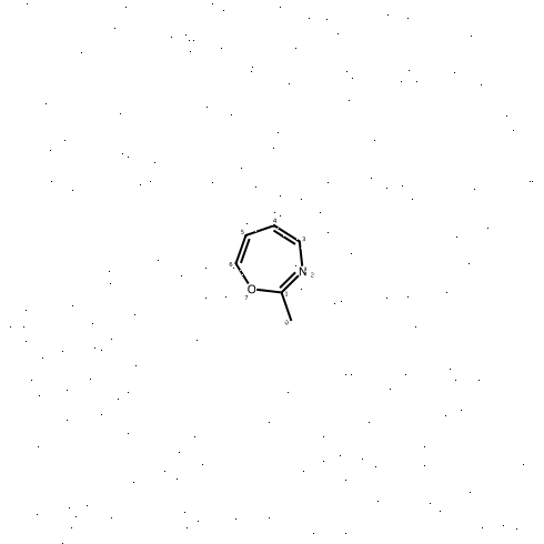 CC1=NC=CC=CO1